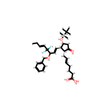 CC/C=C/C(F)(F)C(/C=C/[C@H]1[C@H](O[Si](C)(C)C(C)(C)C)CC(=O)[C@@H]1C/C=C/CCCC(=O)O)OCc1ccccc1